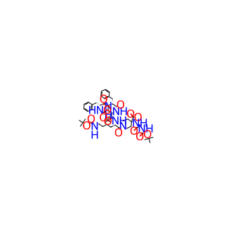 COC(=O)C1(NC(=O)NC(=O)OC(C)(C)C)CCN(C(=O)[C@@H](CCCCNC(=O)OC(C)(C)C)NC(=O)[C@@H](CC(C)C)NC(=O)[C@@H](Cc2ccccc2)NC(=O)[C@@H](Cc2ccccc2)NC(=O)OC(C)(C)C)CC1